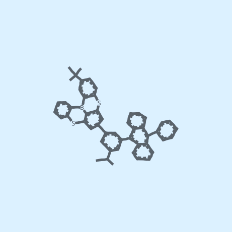 CC(C)c1cc(-c2cc3c4c(c2)Sc2ccc(C(C)(C)C)cc2B4c2ccccc2S3)cc(-c2c3ccccc3c(-c3ccccc3)c3ccccc23)c1